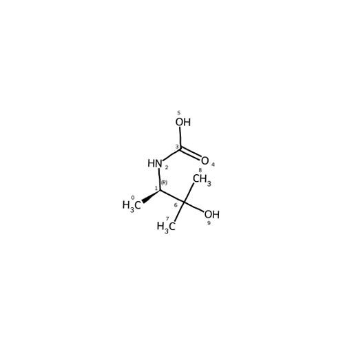 C[C@@H](NC(=O)O)C(C)(C)O